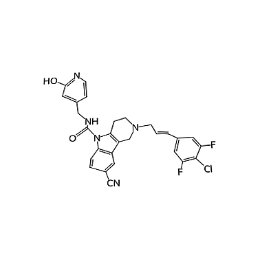 N#Cc1ccc2c(c1)c1c(n2C(=O)NCc2ccnc(O)c2)CCN(CC=Cc2cc(F)c(Cl)c(F)c2)C1